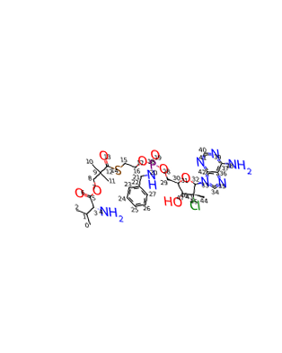 CC(C)[C@@H](N)C(=O)OCC(C)(C)C(=O)SCCOP(=O)(NCc1ccccc1)OC[C@H]1O[C@@H](n2cnc3c(N)ncnc32)[C@](C)(Cl)[C@@H]1O